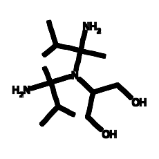 CC(C)C(C)(N)N(C(CO)CO)C(C)(N)C(C)C